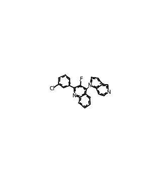 Fc1c(-c2cccc(Cl)c2)nc2ccccc2c1-n1ccc2cnccc21